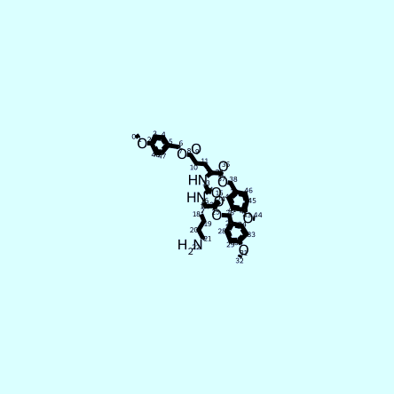 COc1ccc(COC(=O)CCC(NC(=O)N[C@@H](CCCCN)C(=O)OCc2ccc(OC)cc2)C(=O)OCc2ccc(OC)cc2)cc1